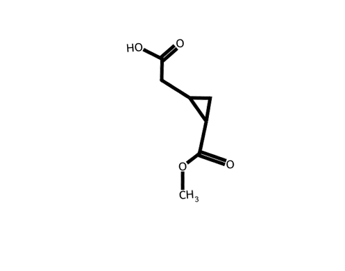 COC(=O)C1CC1CC(=O)O